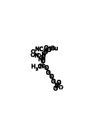 CN1C[C@H](OCCOCCOCCOCCN2C(=O)c3ccccc3C2=O)C[C@H]1COc1nc2c(c(N3CCN(C(=O)OC(C)(C)C)[C@@H](CC#N)C3)n1)CCN(c1cccc3ccccc13)C2